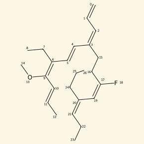 C=C\C=C(/C=C/C(CC)=C(\C=C\C)OC)CC/C(F)=C\C(=C/CC)CCC